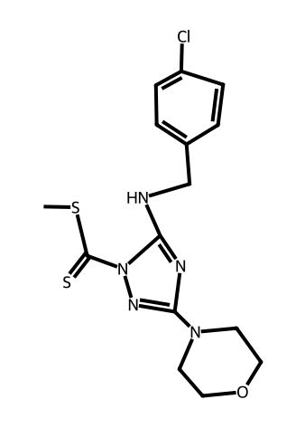 CSC(=S)n1nc(N2CCOCC2)nc1NCc1ccc(Cl)cc1